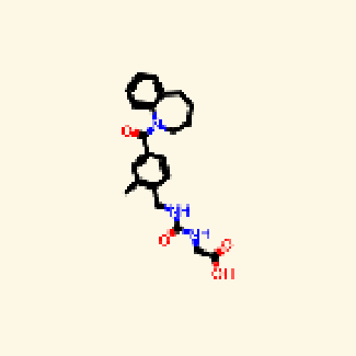 Cc1cc(C(=O)N2CCCCc3ccccc32)ccc1CNC(=O)NCC(=O)O